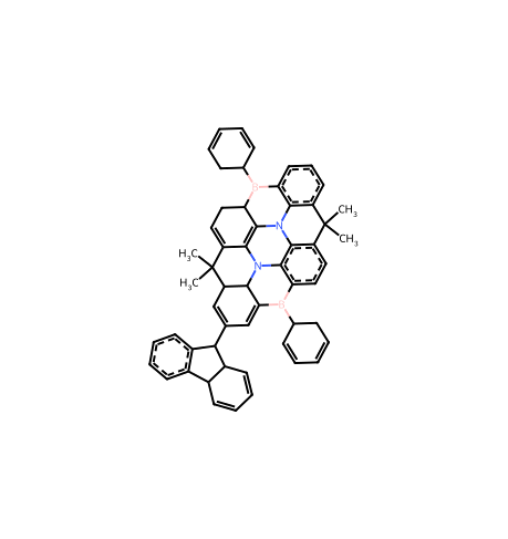 CC1(C)c2cccc3c2N2C4=C5C(=CCC4B3C3C=CC=CC3)C(C)(C)C3C=C(C4c6ccccc6C6C=CC=CC64)C=C4B(C6C=CC=CC6)c6ccc1c2c6N5C43